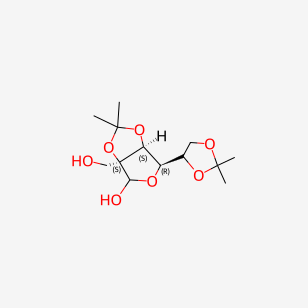 CC1(C)OCC([C@H]2OC(O)[C@@]3(CO)OC(C)(C)O[C@@H]23)O1